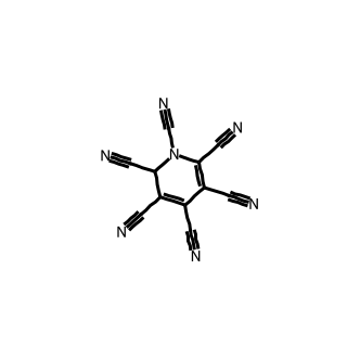 N#CC1=C(C#N)C(C#N)N(C#N)C(C#N)=C1C#N